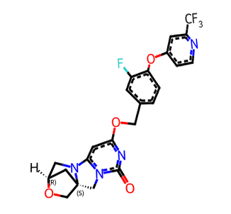 O=c1nc(OCc2ccc(Oc3ccnc(C(F)(F)F)c3)c(F)c2)cc2n1C[C@@]13CO[C@@H](CN21)C3